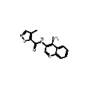 Cc1cnoc1C(=O)Nc1cnc2ccccc2c1N